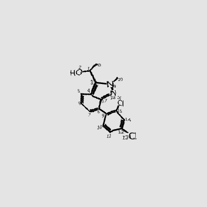 CC(O)c1c2cccc(-c3ccc(Cl)cc3Cl)c2nn1C